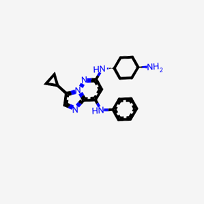 N[C@H]1CC[C@H](Nc2cc(Nc3ccccc3)c3ncc(C4CC4)n3n2)CC1